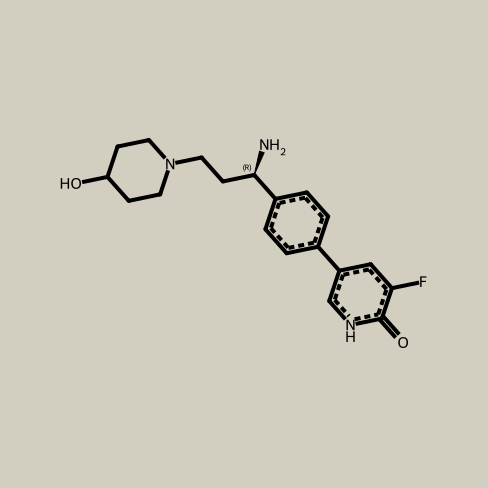 N[C@H](CCN1CCC(O)CC1)c1ccc(-c2c[nH]c(=O)c(F)c2)cc1